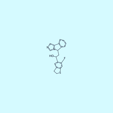 OC(CC1c2ccccc2-c2cncn21)c1cc2c(cc1F)SCC2